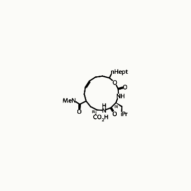 CCCCCCCC1CCC=CCC(C(=O)NC)C[C@@H](C(=O)O)NC(=O)[C@H](CC(C)C)NC(=O)O1